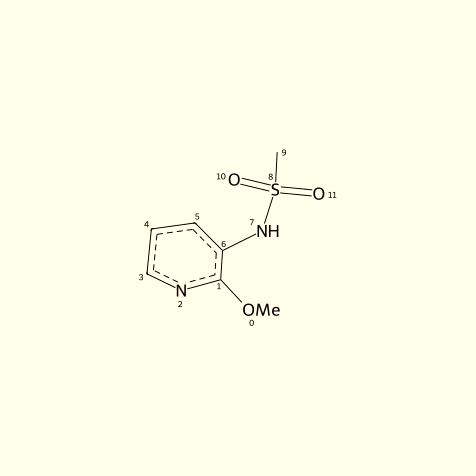 COc1ncccc1NS(C)(=O)=O